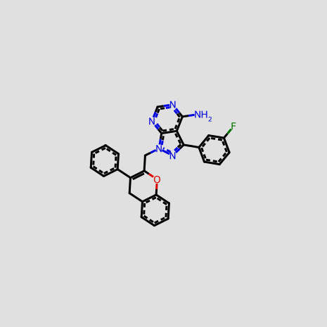 Nc1ncnc2c1c(-c1cccc(F)c1)nn2CC1=C(c2ccccc2)Cc2ccccc2O1